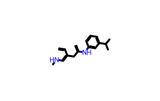 C=C/C(=C\NC)CC(=C)Nc1cccc(C(C)C)c1